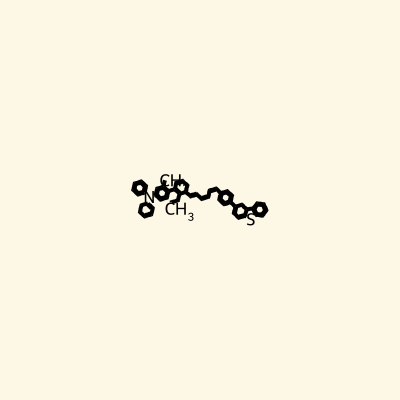 CCCC1=C(c2ccc(N(C3=CC=CCC3)c3ccccc3)cc2C)C=CCC1/C=C/C=C\C=C/c1ccc(C2=CC=C3Sc4ccccc4C3C2)cc1